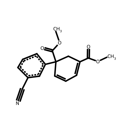 COC(=O)C1=CC=CC(C(=O)OC)(c2cccc(C#N)c2)C1